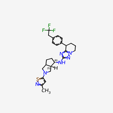 Cc1cc(N2CC3CC[C@@H](Nc4nc5n(n4)CCCC5c4ccc(CC(F)(F)F)cc4)[C@@H]3C2)sn1